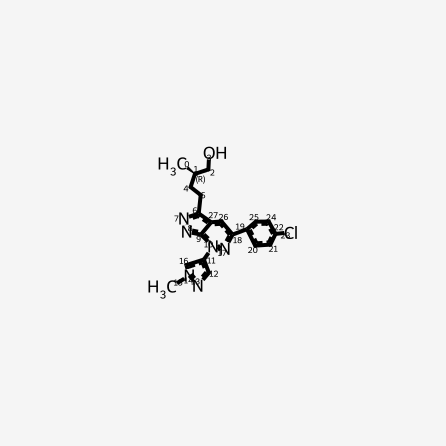 C[C@@H](CO)CCc1nnc2n(-c3cnn(C)c3)nc(-c3ccc(Cl)cc3)cc1-2